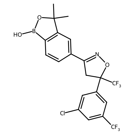 CC1(C)OB(O)c2ccc(C3=NOC(c4cc(Cl)cc(C(F)(F)F)c4)(C(F)(F)F)C3)cc21